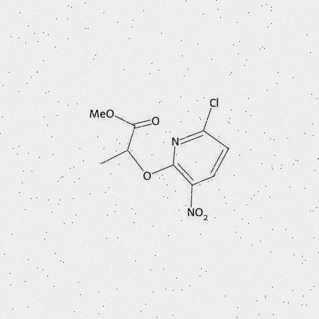 COC(=O)C(C)Oc1nc(Cl)ccc1[N+](=O)[O-]